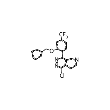 FC(F)(F)c1ccc(-c2nnc(Cl)c3ccncc23)c(OCc2ccccc2)c1